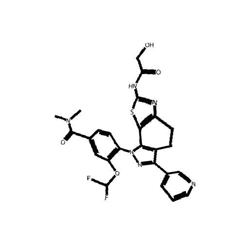 CN(C)C(=O)c1ccc(-n2nc(-c3cccnc3)c3c2-c2sc(NC(=O)CO)nc2CC3)c(OC(F)F)c1